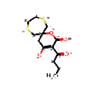 CCCC(=O)C1=C(O)CC2(CSCCSC2)OC1=O